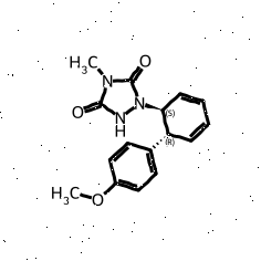 COc1ccc([C@H]2C=CC=C[C@@H]2n2[nH]c(=O)n(C)c2=O)cc1